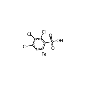 O=S(=O)(O)c1ccc(Cl)c(Cl)c1Cl.[Fe]